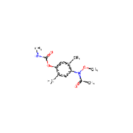 CNC(=O)Oc1cc(C)c(N(OC)C(C)=O)cc1C